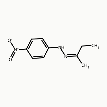 CCC(C)=NNc1ccc([N+](=O)[O-])cc1